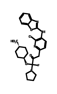 O=C(Cc1ccc(Nc2nc3ccccc3o2)c(Cl)n1)C(F)(O[C@H]1CC[C@H](C(=O)O)CC1)N1CCCC1